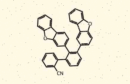 N#Cc1ccccc1-c1cccc(-c2ccc3oc4ccccc4c3c2)c1-c1ccc2c(c1)oc1ccccc12